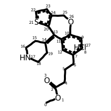 COC(=O)CCCc1ccc2c(c1)C(=C1CCNCC1)c1sccc1CO2.Cl